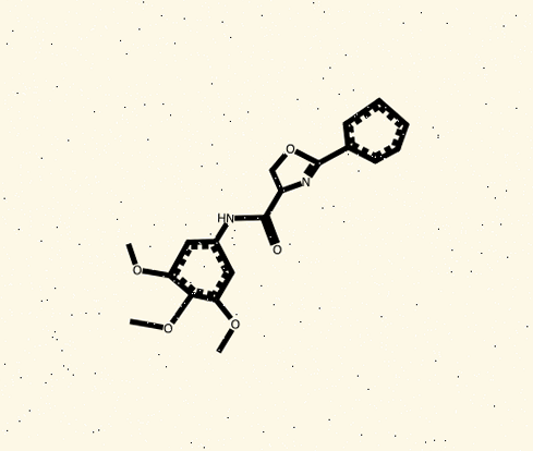 COc1cc(NC(=O)C2COC(c3ccccc3)=N2)cc(OC)c1OC